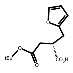 CC(C)(C)OC(=O)C[C@H](Cc1ccco1)C(=O)O